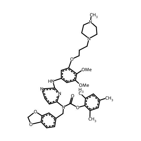 COc1cc(Nc2nccc(N(Cc3ccc4c(c3)OCO4)C(=O)Oc3c(C)cc(C)cc3C)n2)cc(OCCCN2CCN(C)CC2)c1OC